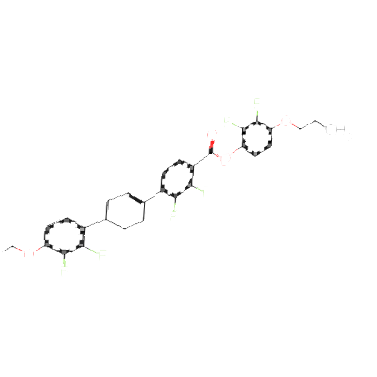 CCCOc1ccc(OC(=O)c2ccc(C3=CCC(c4ccc(OCC)c(F)c4F)CC3)c(F)c2F)c(F)c1F